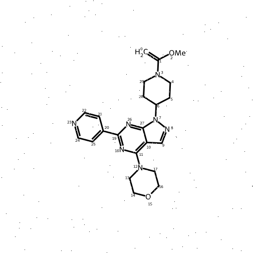 C=C(OC)N1CCC(n2ncc3c(N4CCOCC4)nc(-c4ccncc4)nc32)CC1